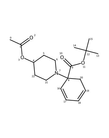 CC(=O)OC1CCN(C2(C(=O)OC(C)(C)C)C=CC=CC2)CC1